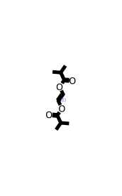 CC(C)C(=O)O/C=C/OC(=O)C(C)C